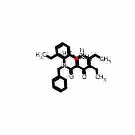 CCc1cccc(CC)c1N(Cc1ccccc1)C(=O)c1c(C)[nH]c(CC)c(CC)c1=O